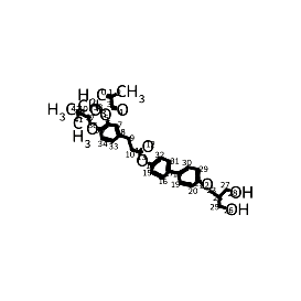 C=C(C)C(=O)Oc1cc(CCC(=O)Oc2ccc(-c3ccc(OCC(CO)CO)cc3)cc2)ccc1OC(=O)C(C)(C)C